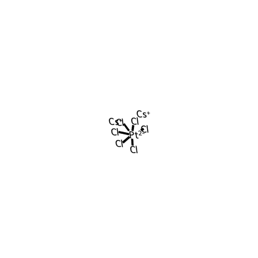 [Cl][Pt-2]([Cl])([Cl])([Cl])([Cl])[Cl].[Cs+].[Cs+]